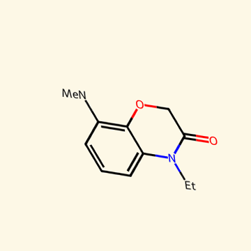 CCN1C(=O)COc2c(NC)cccc21